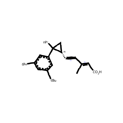 CCCC1(c2cc(C(C)(C)C)cc(C(C)(C)C)c2)C[C@@H]1/C=C/C(C)=C/C(=O)O